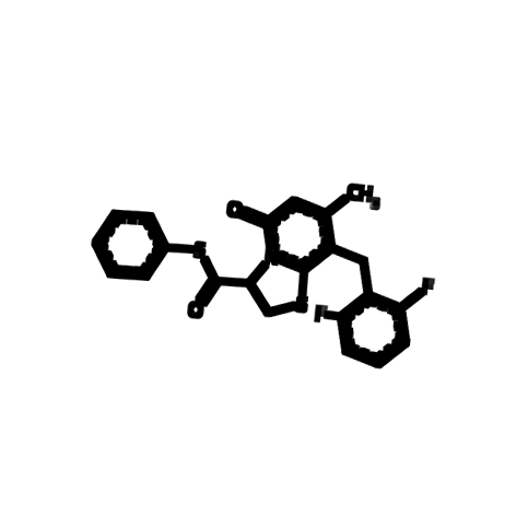 Cc1cc(=O)n2c(c1Cc1c(F)cccc1F)SCC2C(=O)Sc1ccccc1